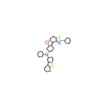 c1ccc(-c2nc3c(ccc4oc5cc(N(c6ccccc6)c6ccc7sc8ccccc8c7c6)ccc5c43)s2)cc1